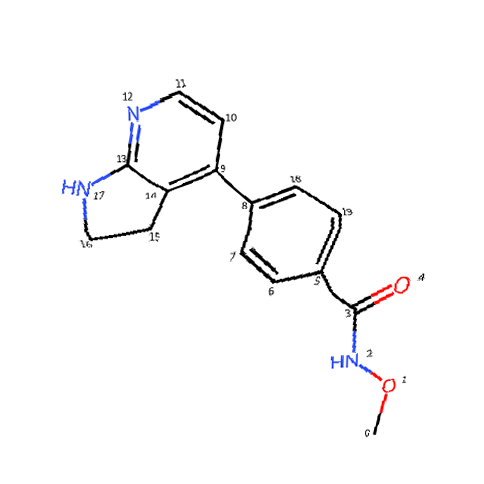 CONC(=O)c1ccc(-c2ccnc3c2CCN3)cc1